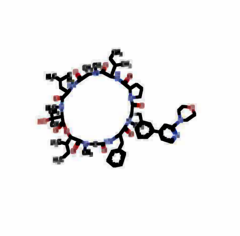 CCC(C)C1NC(=O)C2CCCN2C(=O)[C@H](Cc2cccc(-c3ccnc(N4CCOCC4)c3)c2)N(C)C(=O)C(Cc2ccccc2)NC(=O)CN(C)C(=O)[C@@H](C(C)CC)OC(=O)C(C(C)(C)O)N(C)C(=O)C(CC(C)C)NC(=O)[C@H](C)N(C)C1=O